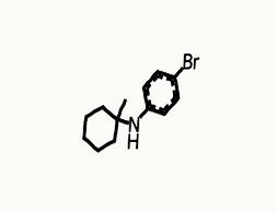 CC1(Nc2ccc(Br)cc2)CCCCC1